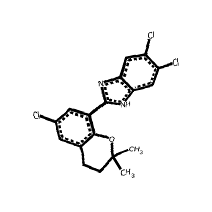 CC1(C)CCc2cc(Cl)cc(-c3nc4cc(Cl)c(Cl)cc4[nH]3)c2O1